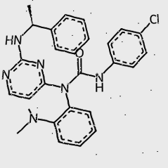 C[C@H](Nc1nccc(N(C(=O)Nc2ccc(Cl)cc2)c2ccccc2N(C)C)n1)c1ccccc1